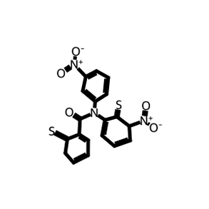 O=C(C1=CC=CCC1=S)N(C1=CC=CC([N+](=O)[O-])C1=S)c1cccc([N+](=O)[O-])c1